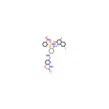 Cc1cc(=O)n(CC(NS(=O)(=O)c2ccccc2[N+](=O)[O-])[C@H]2CC[C@H](NCc3ccc4c(n3)NC(=O)CO4)CC2)c2cc(F)ccc12